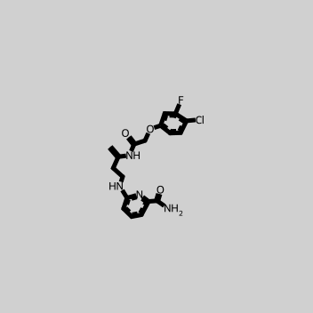 C=C(CCNc1cccc(C(N)=O)n1)NC(=O)COc1ccc(Cl)c(F)c1